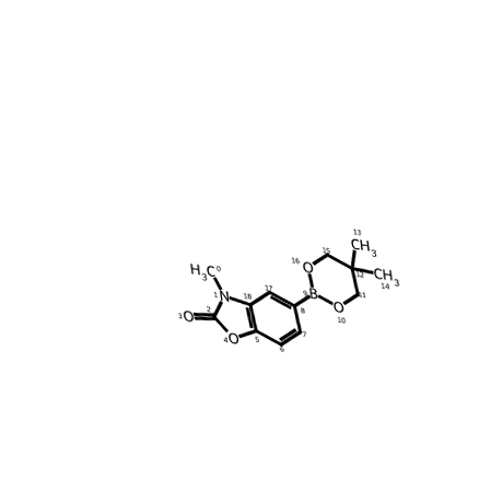 Cn1c(=O)oc2ccc(B3OCC(C)(C)CO3)cc21